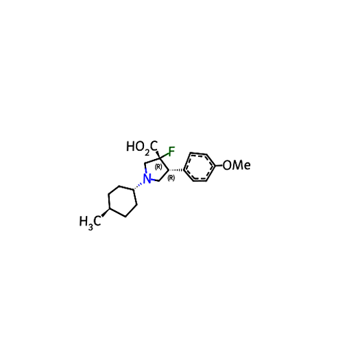 COc1ccc([C@@H]2CN([C@H]3CC[C@H](C)CC3)C[C@@]2(F)C(=O)O)cc1